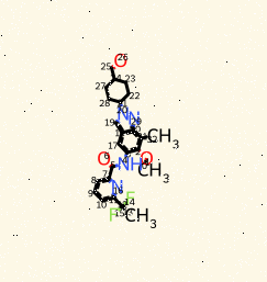 COc1c(NC(=O)c2cccc(C(C)(F)F)n2)cc2cn(C3CCC(C=O)CC3)nc2c1C